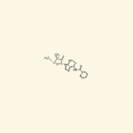 CC[C@H]1O[C@@H](n2cnc3c(NC(=O)c4ccccc4)ncnc32)[C@H](F)[C@@H]1C